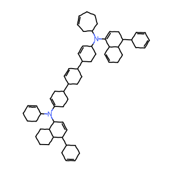 C1=CCC(C2CC=C(N(C3C=CC(C4C=CC(C5CC=C(N(C6C=CCCC6)C6C=CC(C7CC=CCC7)C7CCCCC76)CC5)CC4)CC3)C3CC=CCCC3)C3C=CCCC32)C=C1